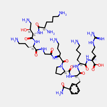 N=C(N)NCC/C=C(\NC(=O)[C@H](CCCCN)NC(=O)[C@H](Cc1cccc(C(N)=O)c1)NC(=O)[C@@H]1CCCN1C(=O)/C(CCCN)=N/C(=O)CNC(=O)[C@H](CCCN)NC(=O)[C@@H](NC(=O)[C@@H](N)CCCCN)[C@@H](O)CN)C(=O)O